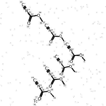 [C-]#[N+]C(=O)OC.[C-]#[N+]C(=O)OC.[C-]#[N+]C(=O)OC.[C-]#[N+]C(=O)OC.[C-]#[N+]C(=O)OC.[C-]#[N+]C(=O)OC.[Tc]